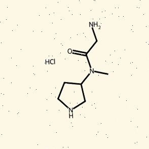 CN(C(=O)CN)C1CCNC1.Cl